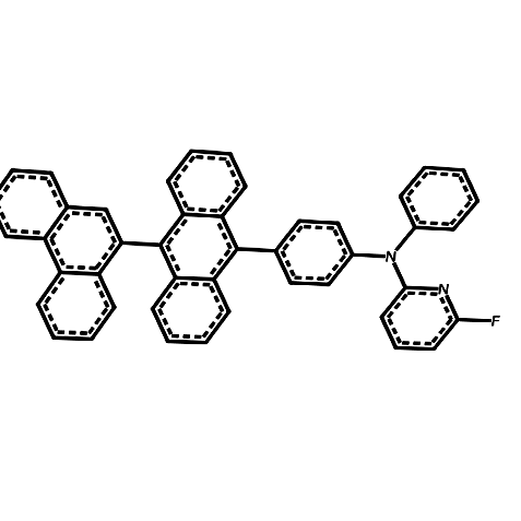 Fc1cccc(N(c2ccccc2)c2ccc(-c3c4ccccc4c(-c4cc5ccccc5c5ccccc45)c4ccccc34)cc2)n1